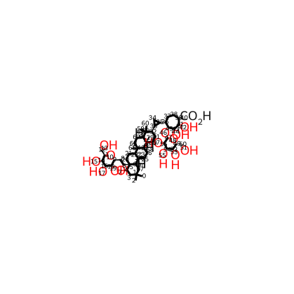 CC1(C)CC[C@]2(C(=O)C[C@@H]3O[C@H](CO)[C@@H](O)[C@H](O)[C@H]3O)CC[C@]3(C)C(=CC[C@@H]4[C@@]5(C)CC[C@H](C6CC6[C@@H]6CC[C@H](C(=O)O)[C@@H](O)[C@H](O)[C@H]6O[C@@H]6O[C@H](CO)[C@@H](O)[C@H](O)[C@H]6O)C(C)(C)[C@@H]5CC[C@]43C)[C@@H]2C1